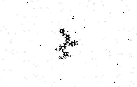 CCc1ccc(CCN(C)C(=O)c2csc(CN(Cc3ccc(OCc4ccccc4)cc3)Cc3ccc4c(c3)OCO4)n2)cc1OC